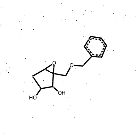 OC1CC2OC2(COCc2ccccc2)C1O